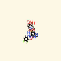 O=C(Nc1ccc(F)c(F)c1)c1cc(S(=O)(=O)N2CCC(O)(CO)CC2)cc2nc[nH]c12